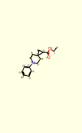 CCOC(=O)C1CC12CCN(c1ccccc1)CC2